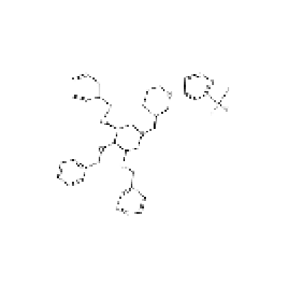 FC(F)(F)c1cc(N2CCC[C@H](CN3C[C@H](OCc4ccccc4)C(OCc4ccccc4)[C@H](OCc4ccccc4)C3)C2)ccn1